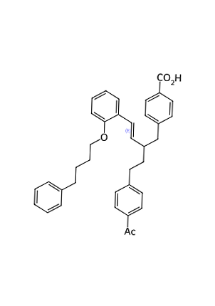 CC(=O)c1ccc(CCC(/C=C/c2ccccc2OCCCCc2ccccc2)Cc2ccc(C(=O)O)cc2)cc1